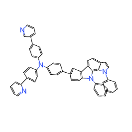 c1ccc(-n2ccc3ccc4c5cc(-c6ccc(N(c7ccc(-c8cccnc8)cc7)c7ccc(-c8ccccn8)cc7)cc6)ccc5n(-c5ccccc5)c4c32)cc1